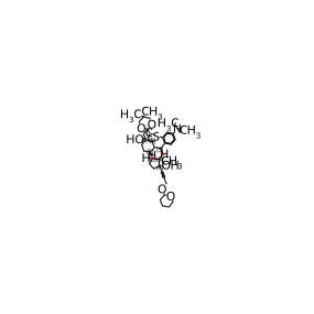 CN(C)c1ccc2c(c1)S[C@]13CCC4(C[C@]1(O)CC[C@@H]1C3[C@@H]2C[C@@]2(C)[C@H]1CC[C@]2(O)C#CCOC1CCCCO1)OCC(C)(C)CO4